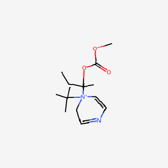 CCC(C)(OC(=O)OC)[N+]1(C(C)(C)C)C=CN=CC1